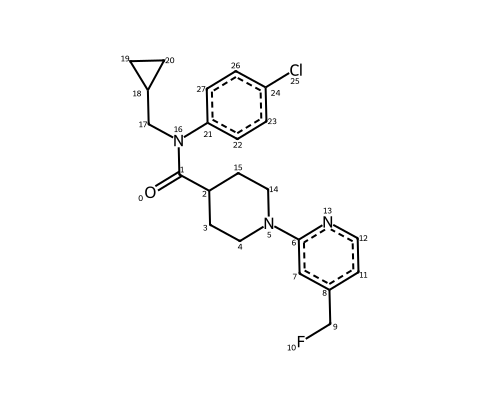 O=C(C1CCN(c2cc(CF)ccn2)CC1)N(CC1CC1)c1ccc(Cl)cc1